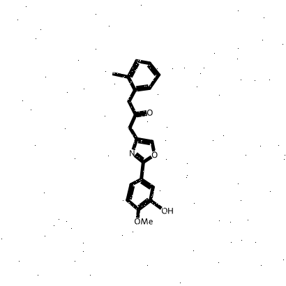 COc1ccc(-c2nc(CC(=O)Cc3ccccc3C)co2)cc1O